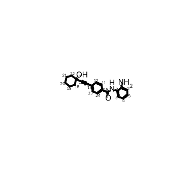 Nc1ccccc1NC(=O)c1ccc(C#CC2(O)CCCCC2)cc1